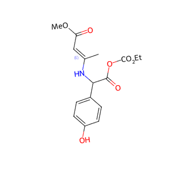 CCOC(=O)OC(=O)C(N/C(C)=C/C(=O)OC)c1ccc(O)cc1